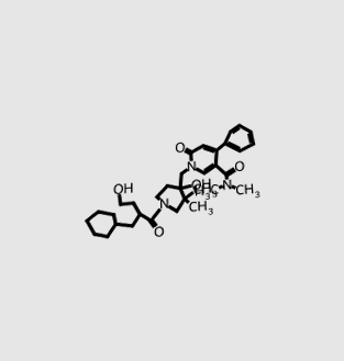 CN(C)C(=O)c1cn(CC2(O)CCN(C(=O)C(CCO)CC3CCCCC3)CC2(C)C)c(=O)cc1-c1ccccc1